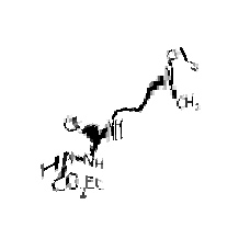 CCOC(=O)NNC(=O)NCCCN(C)C